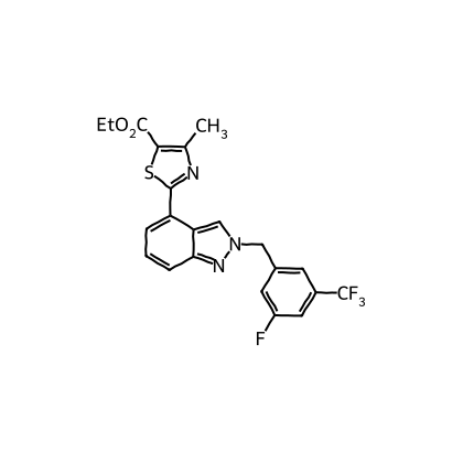 CCOC(=O)c1sc(-c2cccc3nn(Cc4cc(F)cc(C(F)(F)F)c4)cc23)nc1C